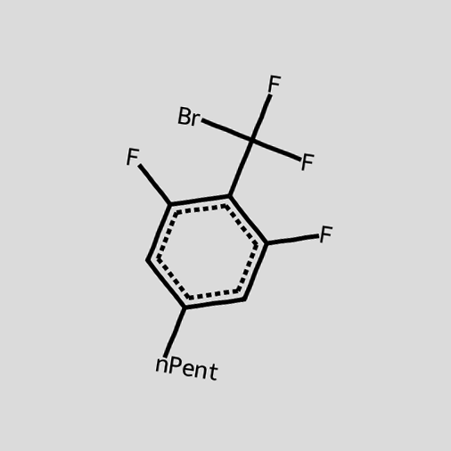 CCCCCc1cc(F)c(C(F)(F)Br)c(F)c1